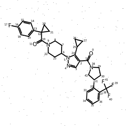 O=C(c1cnn(C2CCN(C(=O)C3(c4ccc(F)cc4)CC3)CC2)c1C1CC1)N1CC[C@@H](c2ccccc2C(F)(F)F)C1